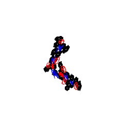 O=C(Oc1ccc(-c2cc(-c3ccc(OC(=O)c4cc(-c5ccccc5-c5ccc(-c6cccc7c6oc6ccccc67)nc5)cc(-c5ccccc5-c5ccc(-c6cccc7c6oc6ccccc67)nc5)c4)cc3)ncn2)cc1)c1cc(-c2ccccc2-c2ccc(-c3cccc4c3oc3ccccc34)nc2)cc(-c2ccccc2-c2ccc(-c3cccc4c3oc3ccccc34)nc2)c1